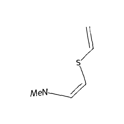 C=CS/C=C\NC